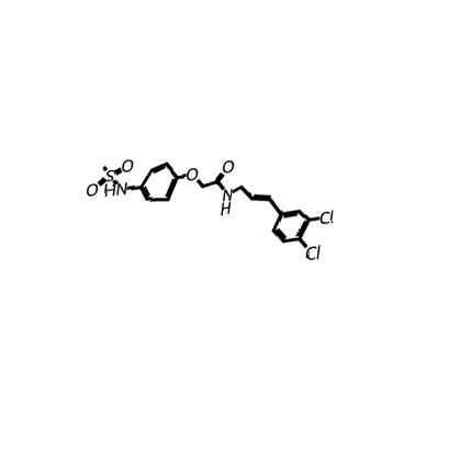 CS(=O)(=O)Nc1ccc(OCC(=O)NC/C=C/c2ccc(Cl)c(Cl)c2)cc1